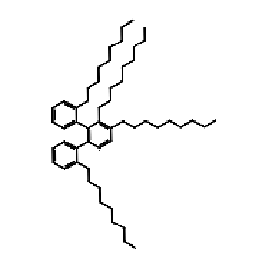 CCCCCCCCCc1ccccc1-c1[c]cc(CCCCCCCCC)c(CCCCCCCCC)c1-c1ccccc1CCCCCCCCC